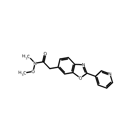 CON(C)C(=O)Cc1ccc2nc(-c3cccnc3)oc2c1